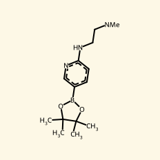 CNCCNc1ccc(B2OC(C)(C)C(C)(C)O2)cn1